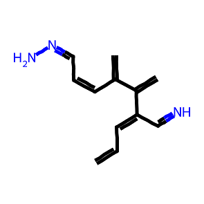 C=C/C=C(\C=N)C(=C)C(=C)/C=C\C=N/N